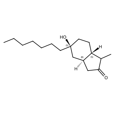 CCCCCCC[C@]1(O)CC[C@@H]2C(C)C(=O)C[C@H]2C1